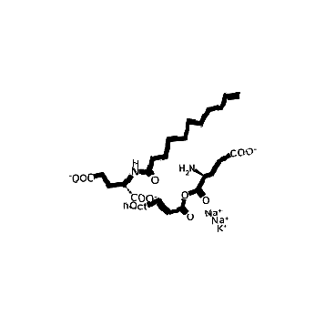 C=CCCCCCCCCC(=O)N[C@@H](CCC(=O)[O-])C(=O)[O-].CCCCCCCCC=CC(=O)OC(=O)[C@@H](N)CCC(=O)[O-].[K+].[Na+].[Na+]